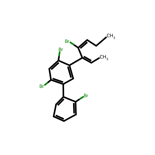 C/C=C(\C(Br)=C/CC)c1cc(-c2ccccc2Br)c(Br)cc1Br